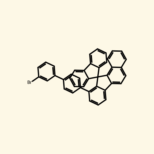 Brc1cccc(-c2ccc(-c3cccc4c3C3(c5ccccc5-c5ccccc53)c3c-4ccc4ccccc34)cc2)c1